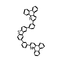 c1cc(-c2ccc3sc4ccc(-c5cccc(-c6ccc7c8ccccc8c8ccccc8c7n6)c5)cc4c3c2)cc(-c2ccc3c4ccccc4c4ccccc4c3n2)c1